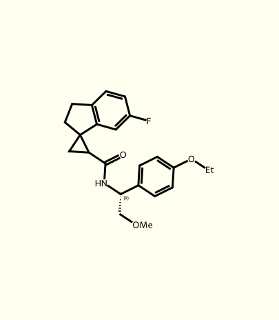 CCOc1ccc([C@H](COC)NC(=O)C2CC23CCc2ccc(F)cc23)cc1